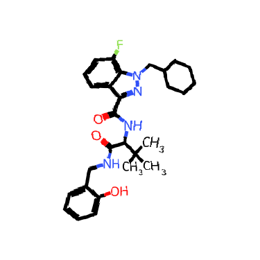 CC(C)(C)C(NC(=O)c1nn(CC2CCCCC2)c2c(F)cccc12)C(=O)NCc1ccccc1O